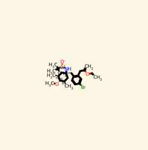 C=C(Cc1cc(Br)ccc1C[C@]1(N[S@@+]([O-])C(C)(C)C)C[C@@H](C)[C@H](OC)[C@@H](C)C1)OCC